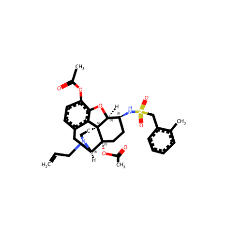 C=CCN1CC[C@]23c4c5ccc(OC(C)=O)c4O[C@H]2[C@@H](NS(=O)(=O)Cc2ccccc2C)CC[C@@]3(OC(C)=O)[C@H]1C5